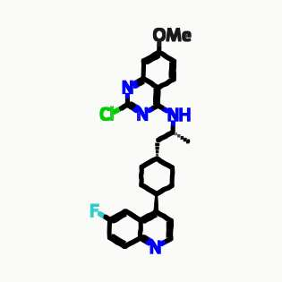 COc1ccc2c(N[C@H](C)C[C@H]3CC[C@H](c4ccnc5ccc(F)cc54)CC3)nc(Cl)nc2c1